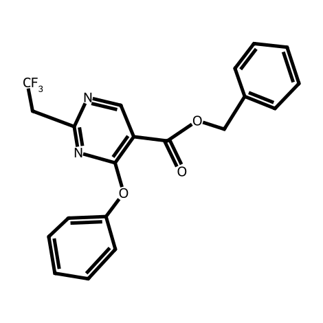 O=C(OCc1ccccc1)c1cnc(CC(F)(F)F)nc1Oc1ccccc1